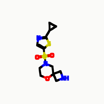 O=S(=O)(c1cnc(C2CC2)s1)N1CCOC2(CNC2)C1